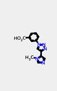 Cn1cncc1-c1cn(-c2cccc(C(=O)O)c2)nn1